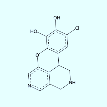 Oc1c(Cl)cc2c(c1O)Oc1cncc3c1C2CNC3